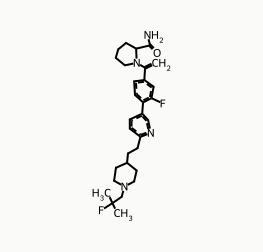 C=C(c1ccc(-c2ccc(CCC3CCN(CC(C)(C)F)CC3)nc2)c(F)c1)N1CCCCC1C(N)=O